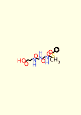 CC(SC(=O)c1ccccc1)C(=O)NCC(=O)NCC(=O)NCCCC(=O)O